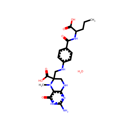 CCCC(NC(=O)c1ccc(NCC2(C(=O)O)CNc3nc(N)[nH]c(=O)c3N2C)cc1)C(=O)O.O